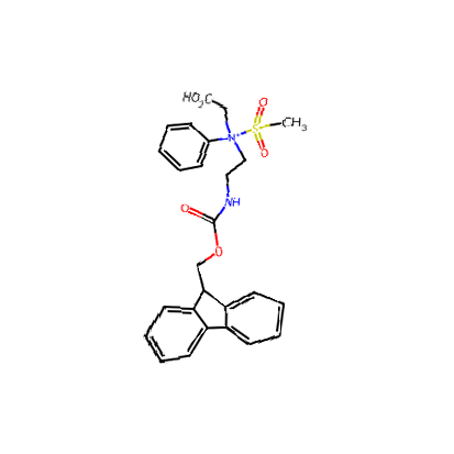 CS(=O)(=O)[N+](CCNC(=O)OCC1c2ccccc2-c2ccccc21)(CC(=O)O)c1ccccc1